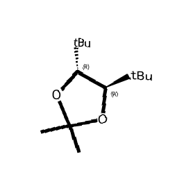 CC1(C)O[C@H](C(C)(C)C)[C@@H](C(C)(C)C)O1